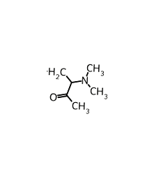 [CH2]C(C(C)=O)N(C)C